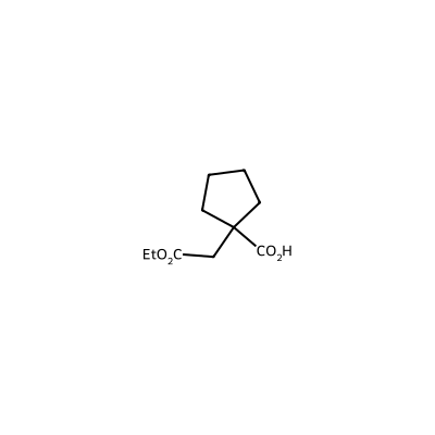 CCOC(=O)CC1(C(=O)O)CCCC1